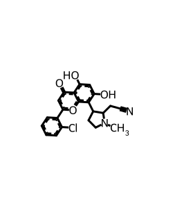 CN1CCC(c2c(O)cc(O)c3c(=O)cc(-c4ccccc4Cl)oc23)C1CC#N